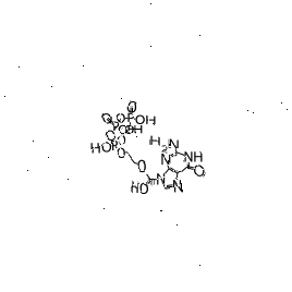 Nc1nc2c(ncn2[C@H](O)OCCOP(=O)(O)OP(=O)(O)OP(=O)(O)O)c(=O)[nH]1